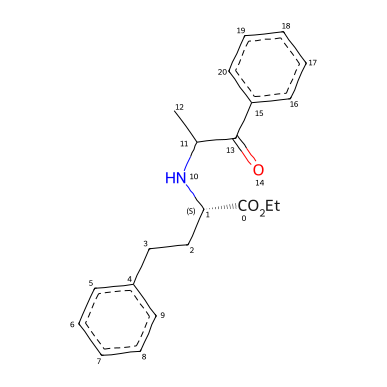 CCOC(=O)[C@H](CCc1ccccc1)NC(C)C(=O)c1ccccc1